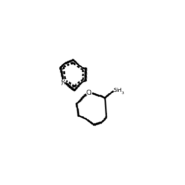 [SiH3]C1CCCCO1.c1ccncc1